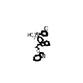 C[C@@H](COc1ccnc2c1CCCCC2)CC1=Cc2ccccc2C12CCC(Nc1cccc(Cl)c1)(C(=O)O)CC2